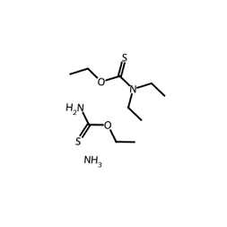 CCOC(=S)N(CC)CC.CCOC(N)=S.N